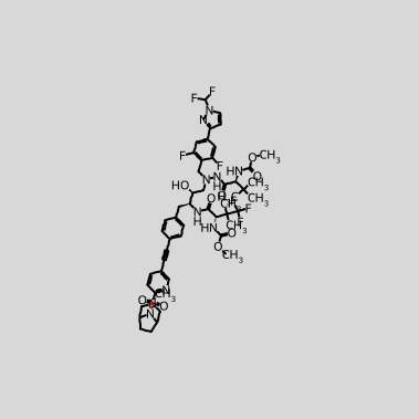 COC(=O)N[C@H](C(=O)NN(Cc1c(F)cc(-c2ccn(C(F)F)n2)cc1F)C[C@H](O)[C@H](Cc1ccc(C#Cc2ccc(N3CC4CCC(C3)N4S(C)(=O)=O)nc2)cc1)NC(=O)[C@@H](NC(=O)OC)C(C)(C)C(F)(F)F)C(C)(C)C